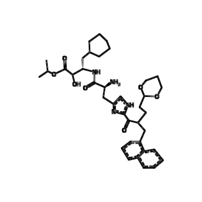 CC(C)OC(=O)C(O)[C@H](CC1CCCCC1)NC(=O)[C@@H](N)Cc1c[nH]c(C(=O)C(CCC2OCCCO2)Cc2cccc3ccccc23)n1